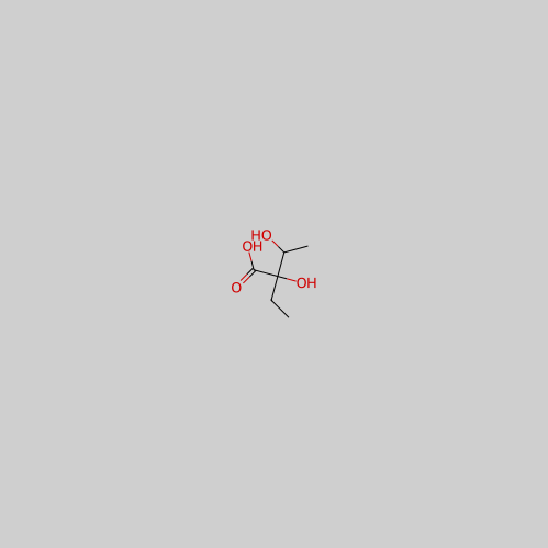 CCC(O)(C(=O)O)C(C)O